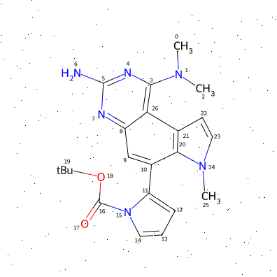 CN(C)c1nc(N)nc2cc(-c3cccn3C(=O)OC(C)(C)C)c3c(ccn3C)c12